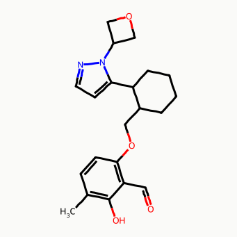 Cc1ccc(OCC2CCCCC2c2ccnn2C2COC2)c(C=O)c1O